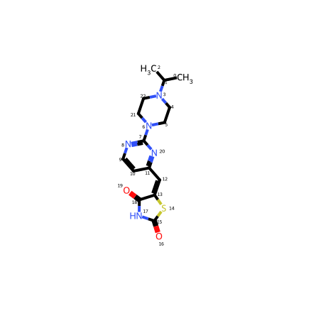 CC(C)N1CCN(c2nccc(C=C3SC(=O)NC3=O)n2)CC1